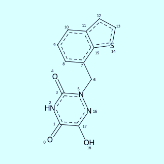 O=c1[nH]c(=O)n(Cc2cccc3ccsc23)nc1O